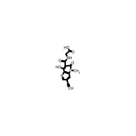 C#Cc1cnc2c(O)c(C(=O)NCC(=O)O)c(=O)n(C)c2c1